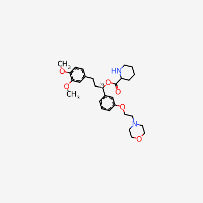 COc1ccc(CC[C@@H](OC(=O)C2CCCCN2)c2cccc(OCCN3CCOCC3)c2)cc1OC